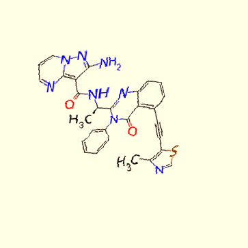 Cc1ncsc1C#Cc1cccc2nc([C@@H](C)NC(=O)c3c(N)nn4cccnc34)n(-c3ccccc3)c(=O)c12